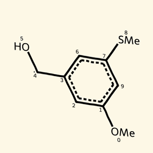 COc1cc([CH]O)cc(SC)c1